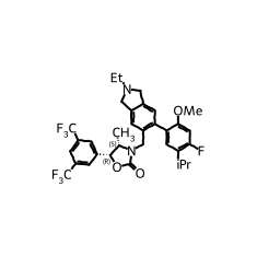 CCN1Cc2cc(CN3C(=O)O[C@H](c4cc(C(F)(F)F)cc(C(F)(F)F)c4)[C@@H]3C)c(-c3cc(C(C)C)c(F)cc3OC)cc2C1